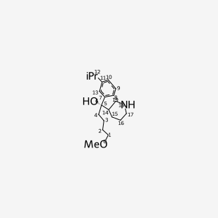 COCCCC[C@@](O)(c1cccc(C(C)C)c1)C1CCCNC1